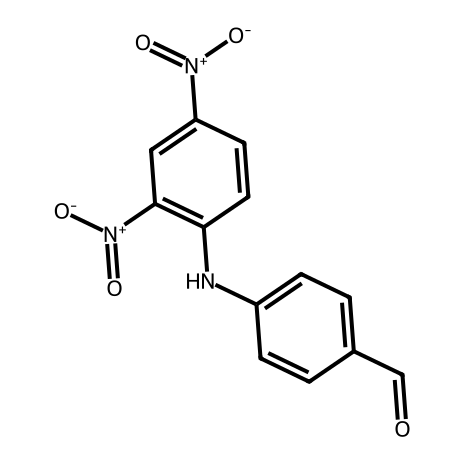 O=Cc1ccc(Nc2ccc([N+](=O)[O-])cc2[N+](=O)[O-])cc1